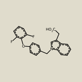 O=C(O)Cc1cn(Cc2ccc(Oc3c(F)cccc3F)cc2)c2ccccc12